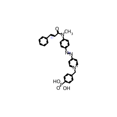 CN(C(=O)/C=C/c1ccccc1)c1ccc(/N=N/c2cc[n+](Cc3ccc(P(=O)(O)O)cc3)cc2)cc1